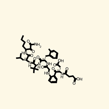 CCCCC(NC(=O)[C@H](CC(C)C)NC(=O)[C@@H](NC(=O)[C@H](Cc1ccccc1C)NC(=O)CNc1ccccc1C(=O)[C@H](CC(=O)O)NC(=O)CCC(=O)O)C(C)(C)C)C(=O)C(N)=O